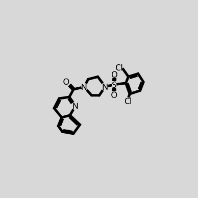 O=C(c1ccc2ccccc2n1)N1CCN(S(=O)(=O)c2c(Cl)cccc2Cl)CC1